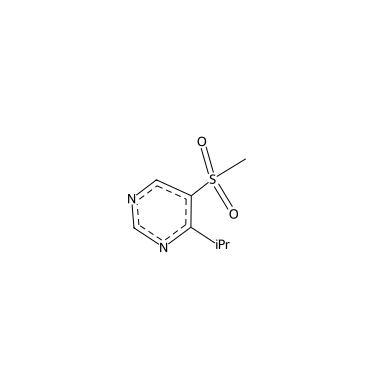 CC(C)c1ncncc1S(C)(=O)=O